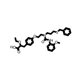 CCOC(Cc1ccc(OCCN(CCCSCc2ccccc2)C(=O)Nc2ccccc2OC)cc1)C(=O)O